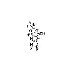 Cc1nc2nc(C(F)(F)OCC(F)(F)F)c(C(=O)O)cc2cc1F